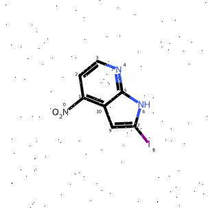 O=[N+]([O-])c1ccnc2[nH]c(I)cc12